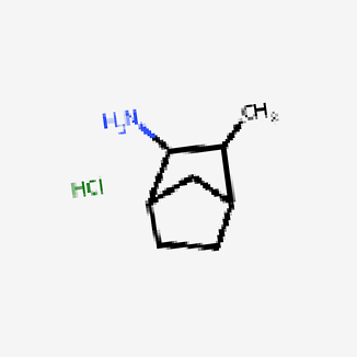 CC1C2CCC(C2)C1N.Cl